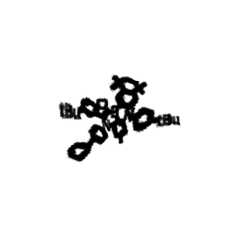 Cc1cc2c3c(c1)N(c1ccc(-c4ccccc4)cc1)c1c(oc4ccc(C(C)(C)C)cc14)B3c1cc3c(cc1N2c1ccc(C(C)(C)C)cc1)C(C)(C)CCC3(C)C